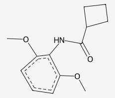 COc1cccc(OC)c1NC(=O)C1CCC1